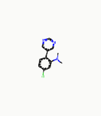 CN(C)c1cc(Cl)ccc1-c1cncnc1